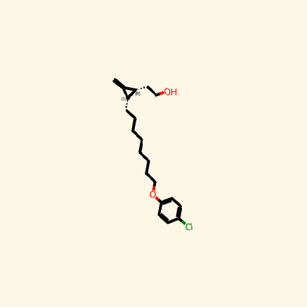 C=C1[C@@H](CCCCCCCCOc2ccc(Cl)cc2)[C@H]1CCO